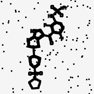 CCCS(=O)(=O)Nc1ccc(F)c(C(=O)c2c[nH]c3ncc(-c4ccc(S(=O)(=O)N5CCCC5)cc4)cc23)c1F